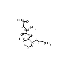 CCCCC1CCCC(O)C1NC(=O)[C@@H](N)CC(=O)O